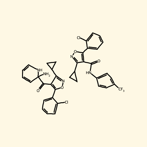 NC1(C(=O)c2c(C3CC3)noc2-c2ccccc2Cl)C=CC=CN1.O=C(Nc1ccc(C(F)(F)F)cc1)c1c(C2CC2)noc1-c1ccccc1Cl